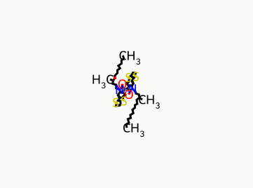 CCCCCCCCCCCCC(C)CCCN1C(=O)/C(=C2/C(=O)N(CCCC(C)CCCCCCCCCC)c3cc4c(cc32)sc2ccsc24)c2cc3sc4ccsc4c3cc21